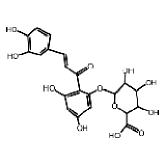 O=C(C=Cc1ccc(O)c(O)c1)c1c(O)cc(O)cc1OC1OC(C(=O)O)C(O)C(O)C1O